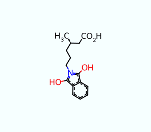 C[C@H](CCCn1c(O)c2ccccc2c1O)CC(=O)O